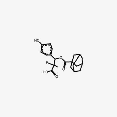 O=C(OC(c1ccc(O)cc1)C(F)(F)C(=O)O)C12CC3CC(CC(C3)C1)C2